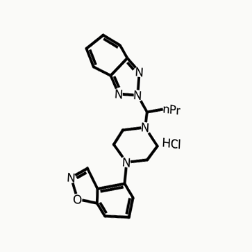 CCCC(N1CCN(c2cccc3oncc23)CC1)n1nc2ccccc2n1.Cl